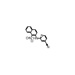 N#Cc1ccnc(Nc2ccc3ccccc3c2[N+](=O)[O-])c1